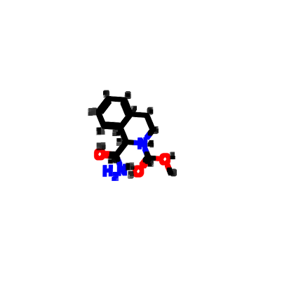 COC(=O)N1CCc2ccccc2C1C(N)=O